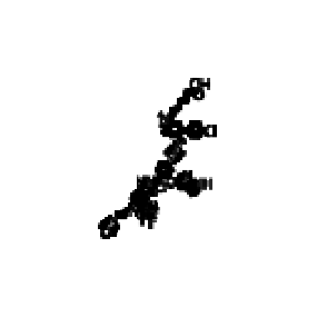 CN(CCCCCCC(=O)O)CC1(C)CCC(c2ccc(Cl)cc2)=C(CN2CCN(c3ccc(C(=O)NS(=O)(=O)c4ccc(NCCCN5CCOCC5)c(S(=O)(=O)C(F)(F)F)c4)c(Oc4cnc5[nH]ccc5c4)c3)CC2)C1